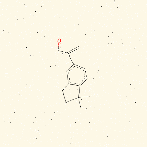 C=C(C=O)c1ccc2c(c1)CCC2(C)C